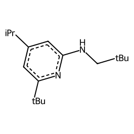 CC(C)c1cc(NCC(C)(C)C)nc(C(C)(C)C)c1